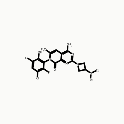 CCN(CC)C1CN(c2nc(N)c3cc(C(F)(F)F)n(-c4c(O)c(Cl)cc(Cl)c4F)c(=O)c3n2)C1